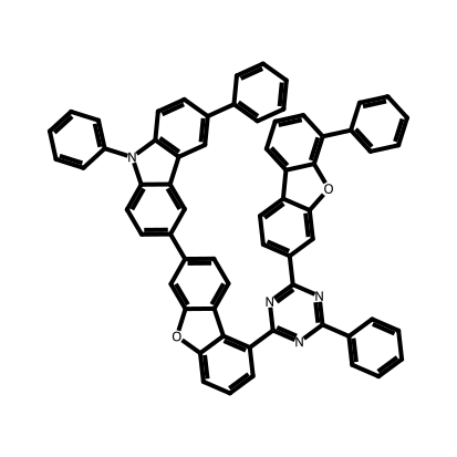 c1ccc(-c2ccc3c(c2)c2cc(-c4ccc5c(c4)oc4cccc(-c6nc(-c7ccccc7)nc(-c7ccc8c(c7)oc7c(-c9ccccc9)cccc78)n6)c45)ccc2n3-c2ccccc2)cc1